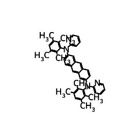 Cc1cc(C)c(C)c(N(c2ccc3cc4cc(N(c5ccccn5)c5c(C)c(C)cc(C)c5C)ccc4cc3c2)c2ccccn2)c1C